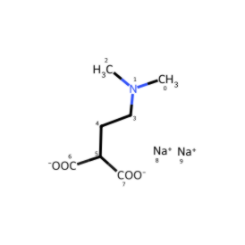 CN(C)CCC(C(=O)[O-])C(=O)[O-].[Na+].[Na+]